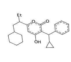 CCC(CC1CCCCC1)c1cc(O)c(C(c2ccccc2)C2CC2)c(=O)o1